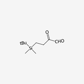 CC(C)(C)[Si](C)(C)CCC(=O)C=O